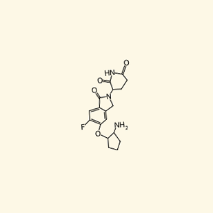 NC1CCCC1Oc1cc2c(cc1F)C(=O)N(C1CCC(=O)NC1=O)C2